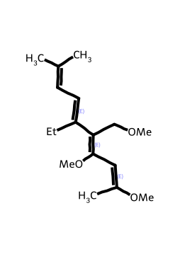 CCC(=C\C=C(C)C)/C(COC)=C(/C=C(\C)OC)OC